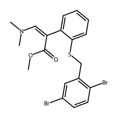 COC(=O)C(=CN(C)C)c1ccccc1SCc1cc(Br)ccc1Br